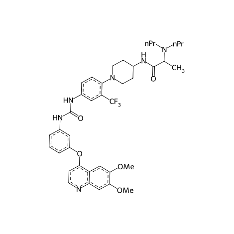 CCCN(CCC)C(C)C(=O)NC1CCN(c2ccc(NC(=O)Nc3cccc(Oc4ccnc5cc(OC)c(OC)cc45)c3)cc2C(F)(F)F)CC1